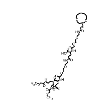 CSCC(=O)NCCN(CCNC(=O)CSC)C(=O)[C@@H](CCC(=O)O)NC(=O)COCCOCCNC(=O)CCC(NC(=O)COCCOCCNC(=O)CSC1CCCCCCCCCCCC1)C(=O)O